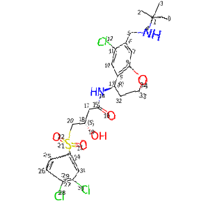 CC(C)(C)NCc1cc2c(cc1Cl)[C@H](NC(=O)C[C@H](O)CS(=O)(=O)c1ccc(Cl)c(Cl)c1)CCO2